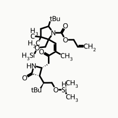 C=CCOC(=O)N1C(C(C)(C)C)CC(C)(C)C1(C=C(C)C(=O)C[C@H]1NC(=O)[C@H]1[C@@H](CO[SiH](C)C)C(C)(C)C)CO[SiH3]